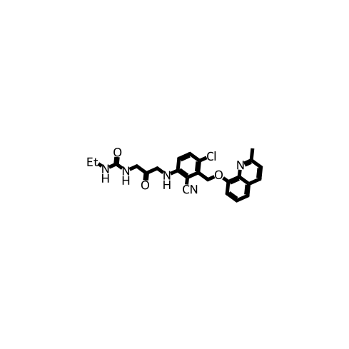 CCNC(=O)NCC(=O)CNc1ccc(Cl)c(COc2cccc3ccc(C)nc23)c1C#N